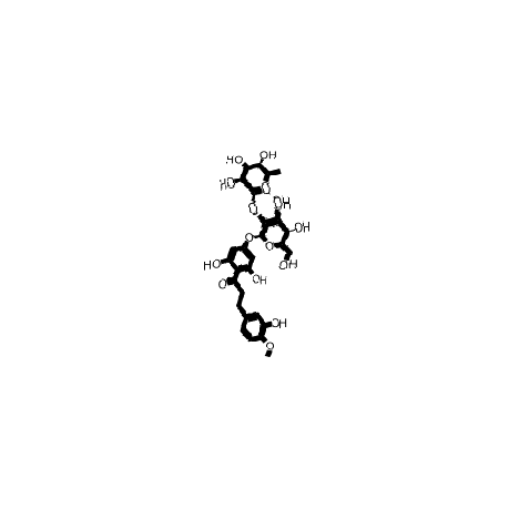 COc1ccc(CCC(=O)c2c(O)cc(O[C@@H]3OC(CO)[C@@H](O)C(O)C3O[C@@H]3OC(C)[C@H](O)C(O)[C@@H]3O)cc2O)cc1O